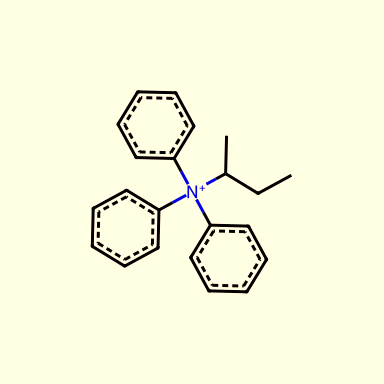 CCC(C)[N+](c1ccccc1)(c1ccccc1)c1ccccc1